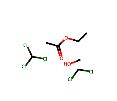 CCOC(C)=O.CO.ClC(Cl)Cl.ClCCl